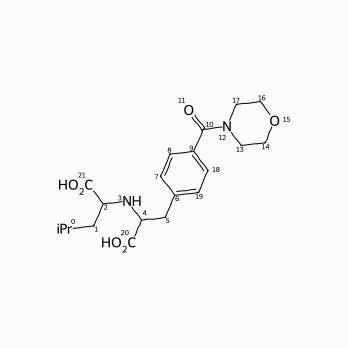 CC(C)CC(NC(Cc1ccc(C(=O)N2CCOCC2)cc1)C(=O)O)C(=O)O